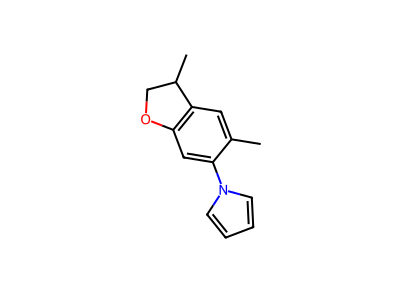 Cc1cc2c(cc1-n1cccc1)OCC2C